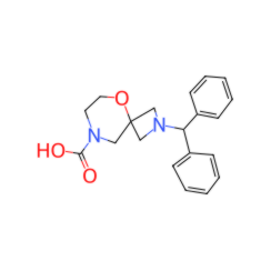 O=C(O)N1CCOC2(C1)CN(C(c1ccccc1)c1ccccc1)C2